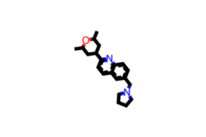 CC1CC(c2ccc3cc(CN4CCCC4)ccc3n2)CC(C)O1